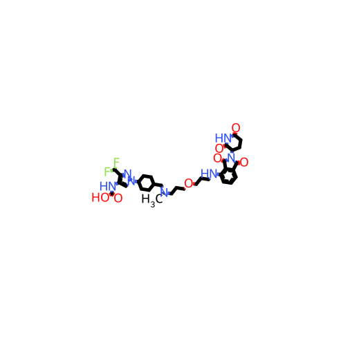 CN(CCCOCCCNc1cccc2c1C(=O)N(C1CCC(=O)NC1=O)C2=O)CC1CCC(n2cc(NC(=O)O)c(C(F)F)n2)CC1